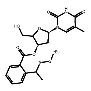 Cc1cn([C@H]2C[C@@H](OC(=O)c3ccccc3C(C)SSC(C)(C)C)C(CO)O2)c(=O)[nH]c1=O